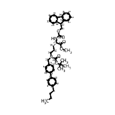 CCCCc1ccc(-c2ccc(CN(CCC[C@H](NC(=O)OCC3c4ccccc4-c4ccccc43)C(=O)OC)C(=O)OC(C)(C)C)cc2)cc1